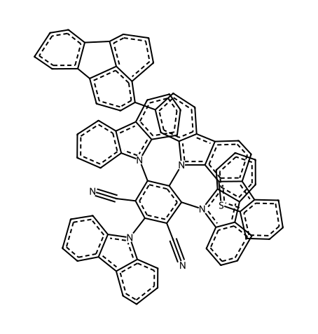 N#Cc1c(-n2c3ccccc3c3ccccc32)c(C#N)c(-n2c3ccccc3c3ccccc32)c(-n2c3cc(-c4ccc5c6c(cccc46)-c4ccccc4-5)ccc3c3ccc4c5ccccc5sc4c32)c1-n1c2ccccc2c2ccccc21